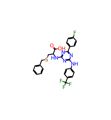 O=C(O)C(CSCc1ccccc1)Nc1nc(Nc2ccc(C(F)(F)F)cc2)nc(-c2ccc(F)cc2)n1